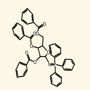 O=C(OCC1OC(N=P(c2ccccc2)(c2ccccc2)c2ccccc2)C(OC(=O)c2ccccc2)C1OC(=O)c1ccccc1)c1ccccc1